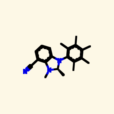 Cc1c(C)c(C)c(N2c3cccc(C#N)c3N(C)[C@@H]2C)c(C)c1C